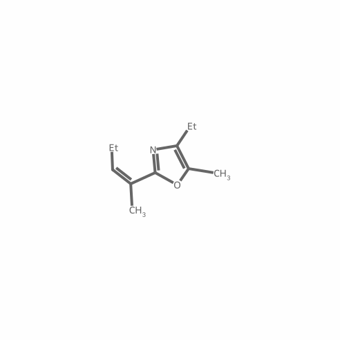 [CH2]Cc1nc(/C(C)=C\CC)oc1C